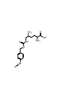 C[C@@H](CC[C@H](N)C(=O)O)CNC(=O)OCc1ccc(N=[N+]=[N-])cc1